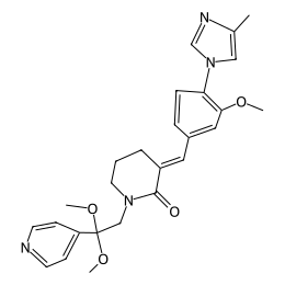 COc1cc(C=C2CCCN(CC(OC)(OC)c3ccncc3)C2=O)ccc1-n1cnc(C)c1